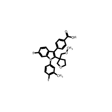 COCC1(c2c(-c3ccc(C(=O)O)cc3)c3ccc(F)cc3n2-c2ccc(F)c(C)c2)CCOC1